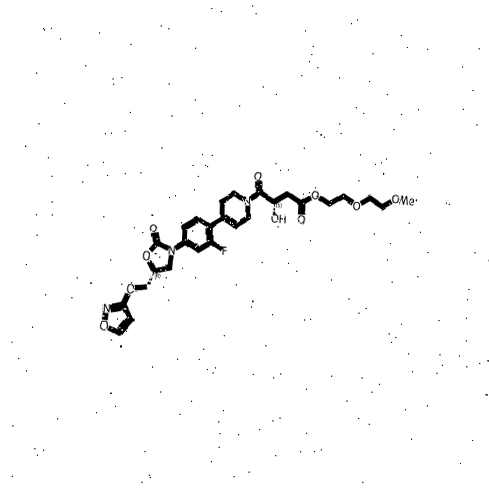 COCCOCCOC(=O)C[C@H](O)C(=O)N1CC=C(c2ccc(N3C[C@H](COc4ccon4)OC3=O)cc2F)CC1